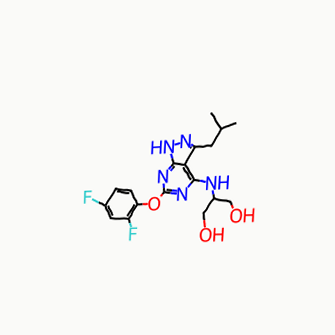 CC(C)Cc1n[nH]c2nc(Oc3ccc(F)cc3F)nc(NC(CO)CO)c12